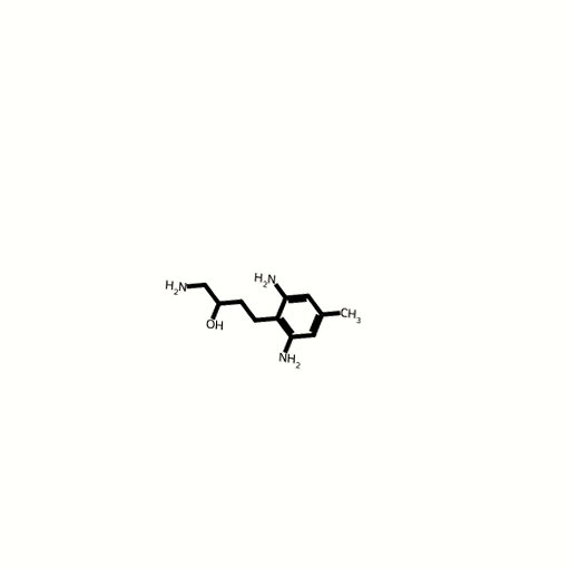 Cc1cc(N)c(CCC(O)CN)c(N)c1